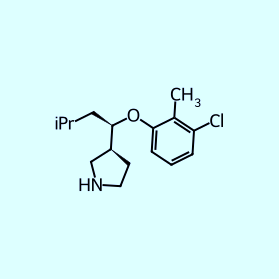 Cc1c(Cl)cccc1O[C@H](CC(C)C)[C@H]1CCNC1